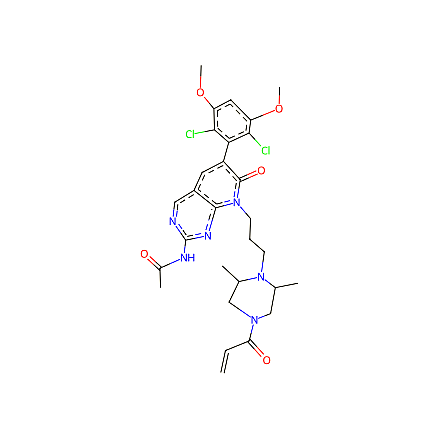 C=CC(=O)N1CC(C)N(CCCn2c(=O)c(-c3c(Cl)c(OC)cc(OC)c3Cl)cc3cnc(NC(C)=O)nc32)C(C)C1